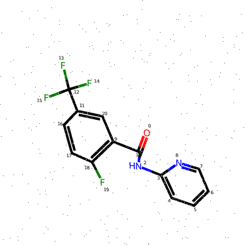 O=C(Nc1ccccn1)c1cc(C(F)(F)F)ccc1F